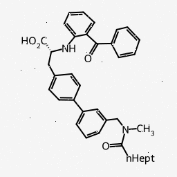 CCCCCCCC(=O)N(C)Cc1cccc(-c2ccc(C[C@@H](Nc3ccccc3C(=O)c3ccccc3)C(=O)O)cc2)c1